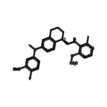 COc1cc(N(C)c2ccc3c(c2)CCC[C@H]3CNc2c(OC(=O)O)ccnc2C)ccc1F